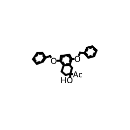 CC(=O)C1(O)CCc2c(OCc3ccccc3)ccc(OCc3ccccc3)c2C1